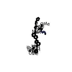 C=C(/C=C\C=C/C)[C@@H](NC(=O)OC)C(=O)N1C[C@@H](COCC2CCCC2)C[C@H]1c1nc2ccc3cc(-c4ccc5c(ccc6nc([C@@H]7[C@@H]8CC[C@@H](C8)N7C(=O)[C@@H](NC(=O)OC)C(C)C)[nH]c65)c4)ccc3c2[nH]1